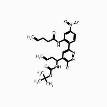 C=CCCC(=O)Nc1cc([N+](=O)[O-])ccc1-c1cc(C(CC=C)NC(=O)OC(C)(C)C)c(Cl)nn1